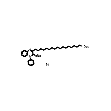 CCCCCCCCCCCCCCCCCCCCCCCCCCCC(=Nc1ccccc1)C(CCCC)=Nc1ccccc1.[Ni]